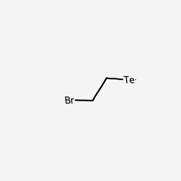 BrCC[Te]